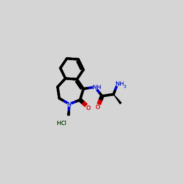 C[C@H](N)C(=O)NC1=C2C=CCCC2CCN(C)C1=O.Cl